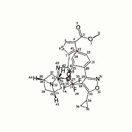 COC(=O)c1csc(-c2csc(N3[C@@H]4C[C@@H](OCc5c(-c6ccccc6OC(F)(F)F)noc5C5CC5)C[C@H]3C4)n2)c1